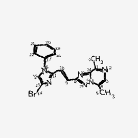 Cc1ncc(C)n2nc(/C=C/c3nc(Br)cn3-c3ccccc3)nc12